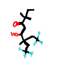 CCC(C)(C)C(=O)/C=C(\O)C(C)(CC(F)(F)F)CC(F)(F)F